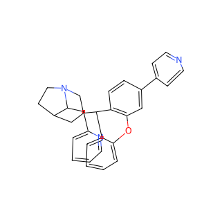 c1ccc(CC2C3CCN2CC(C2c4ccccc4Oc4cc(-c5ccncc5)ccc42)C3)nc1